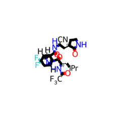 CC(C)C[C@H](NC(=O)C(F)(F)F)C(=O)N1[C@@H]2CC[C@H]([C@H]1C(=O)N[C@H](C#N)C[C@H]1CCNC1=O)C(F)(F)C2